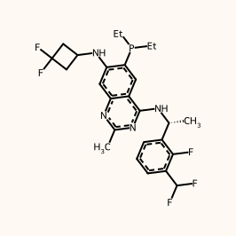 CCP(CC)c1cc2c(N[C@H](C)c3cccc(C(F)F)c3F)nc(C)nc2cc1NC1CC(F)(F)C1